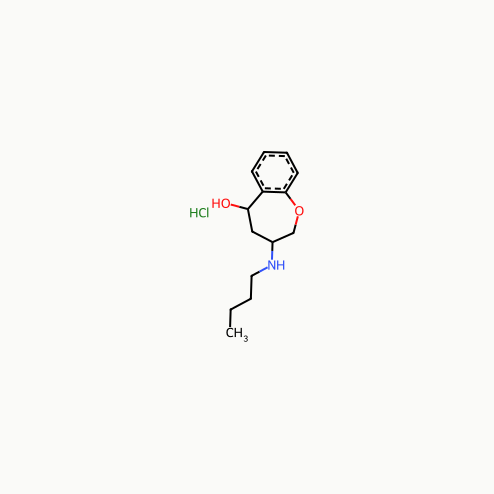 CCCCNC1COc2ccccc2C(O)C1.Cl